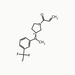 C=CC(=O)N1CC[C@H](N(C)c2cccc(C(F)(F)F)c2)C1